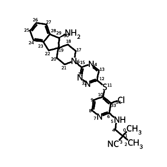 CC(C)(C#N)CNc1nccc(Sc2cnc(N3CCC4(CC3)Cc3ccccc3[C@H]4N)nn2)c1Cl